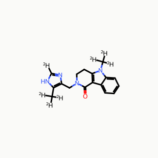 [2H]c1nc(CN2CCc3c(c4ccccc4n3C([2H])([2H])[2H])C2=O)c(C([2H])([2H])[2H])[nH]1